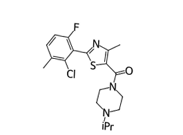 Cc1ccc(F)c(-c2nc(C)c(C(=O)N3CCN(C(C)C)CC3)s2)c1Cl